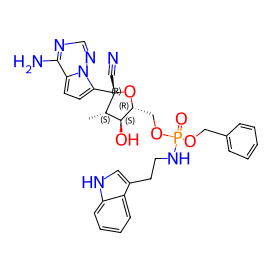 C[C@H]1[C@H](O)[C@@H](COP(=O)(NCCc2c[nH]c3ccccc23)OCc2ccccc2)O[C@@]1(C#N)c1ccc2c(N)ncnn12